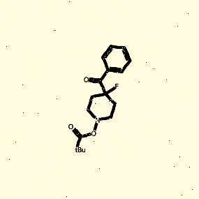 CC(C)(C)C(=O)ON1CCC(F)(C(=O)c2ccccc2)CC1